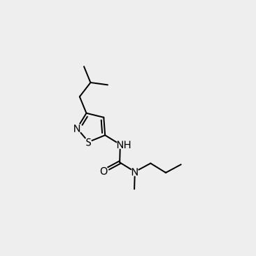 CCCN(C)C(=O)Nc1cc(CC(C)C)ns1